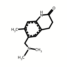 Cc1cc2c(cc1CN(C)C)CCC(=O)N2